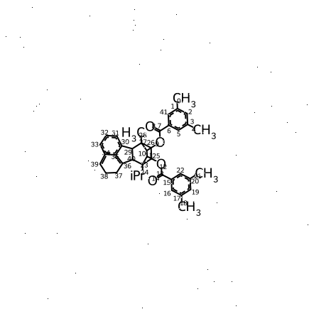 Cc1cc(C)cc(C(=O)OC2C(OC(=O)c3cc(C)cc(C)c3)C3(C(C)C)CCC2(C)C2c4cccc5c4=C(CCC=5)C23)c1